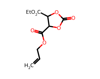 C=CCOC(=O)C1OC(=O)OC1C(=O)OCC